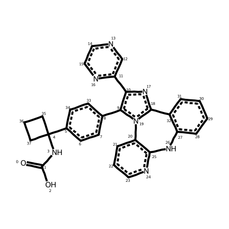 O=C(O)NC1(c2ccc(-c3c(-c4cnccn4)nc4n3-c3cccnc3Nc3ccccc3-4)cc2)CCC1